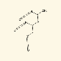 CC(N=C=O)SC(CN=C=O)N=C=O